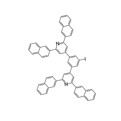 Ic1cc(-c2cc(-c3ccc4ccccc4c3)nc(-c3ccc4ccccc4c3)c2)cc(-c2cc(-c3ccc4ccccc4c3)nc(-c3ccc4ccccc4c3)c2)c1